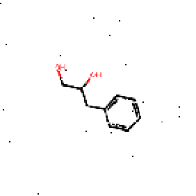 OCC(O)Cc1c[c]ccc1